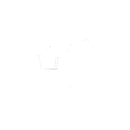 CC1=CC=CC1.[Cl-].[Cl-].[Cl-].[Sm+3]